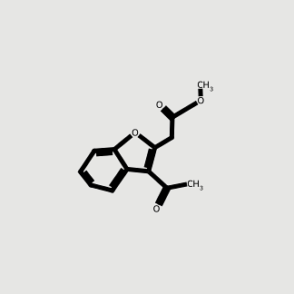 COC(=O)Cc1oc2ccccc2c1C(C)=O